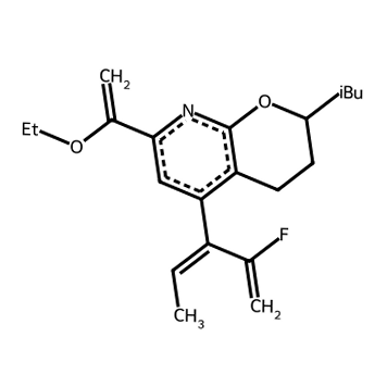 C=C(F)/C(=C\C)c1cc(C(=C)OCC)nc2c1CCC(C(C)CC)O2